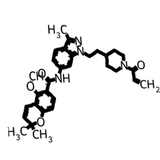 C=CC(=O)N1CCC(CCn2nc(C)c3ccc(NC(=O)c4ccc5c(c4OC)C=CC(C)(C)O5)cc32)CC1